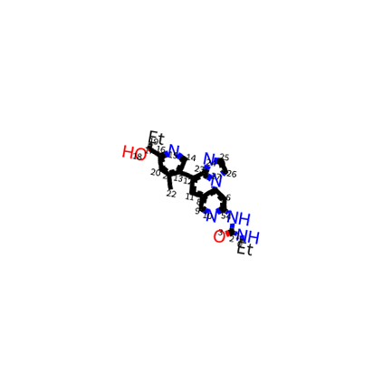 CCNC(=O)Nc1cc2c(cn1)cc(-c1cnc(C(O)CC)cc1C)c1nccn12